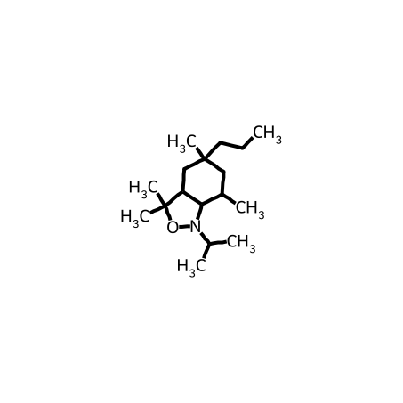 CCCC1(C)CC(C)C2C(C1)C(C)(C)ON2C(C)C